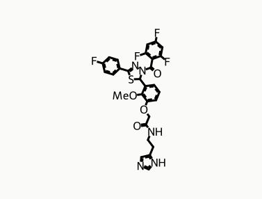 COc1c(OCC(=O)NCCc2cnc[nH]2)cccc1C1SC(c2ccc(F)cc2)=NN1C(=O)c1c(F)cc(F)cc1F